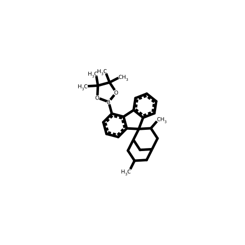 CC1CC2CC(C)C3(c4ccccc4-c4c(B5OC(C)(C)C(C)(C)O5)cccc43)C(C1)C2